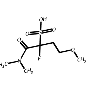 COCCC(F)(C(=O)N(C)C)S(=O)(=O)O